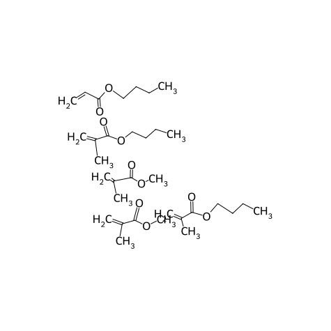 C=C(C)C(=O)OC.C=C(C)C(=O)OC.C=C(C)C(=O)OCCCC.C=C(C)C(=O)OCCCC.C=CC(=O)OCCCC